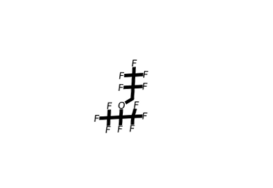 FC(F)(F)C(F)(F)COC(F)(C(F)(F)F)C(F)(F)F